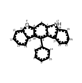 c1ccc(-c2c3c(cc4oc5ccccc5c24)[nH]c2ccccc23)cc1